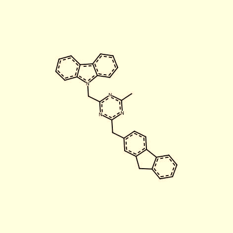 Cc1nc(Cc2ccc3c(c2)Cc2ccccc2-3)nc(Cn2c3ccccc3c3ccccc32)n1